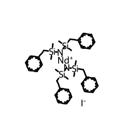 C[Si](C)(Cc1ccccc1)[N]([Nd+][N]([Si](C)(C)Cc1ccccc1)[Si](C)(C)Cc1ccccc1)[Si](C)(C)Cc1ccccc1.[I-]